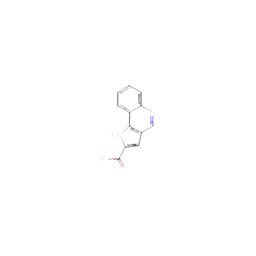 O=C(O)c1cc2cnc3ccccc3c2[nH]1